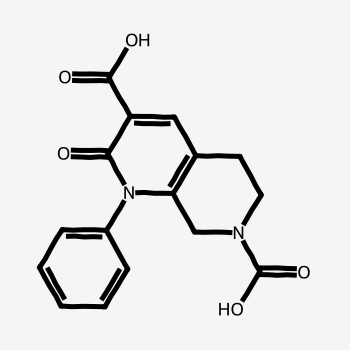 O=C(O)c1cc2c(n(-c3ccccc3)c1=O)CN(C(=O)O)CC2